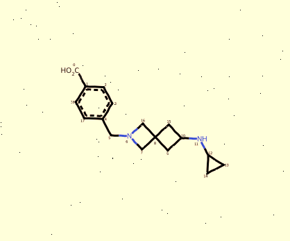 O=C(O)c1ccc(CN2CC3(CC(NC4CC4)C3)C2)cc1